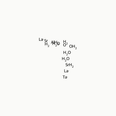 O.O.O.O.O.[AlH3].[La].[La].[SrH2].[SrH2].[Ta]